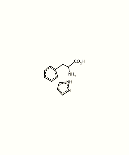 NC(Cc1ccccc1)C(=O)O.c1cn[nH]c1